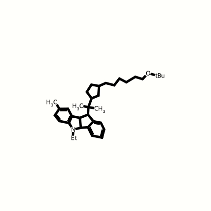 CCN1c2ccc(C)cc2C2C1c1ccccc1C2C(C)(C)C1CCC(CCCCCCOC(C)(C)C)C1